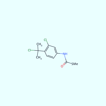 CSC(=O)Nc1ccc(C(C)(C)Cl)c(Cl)c1